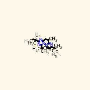 CCC(C)(C)c1nc(CC(C)c2nccc(C(C)(C)C)n2)nc(C(C)(C)C)n1